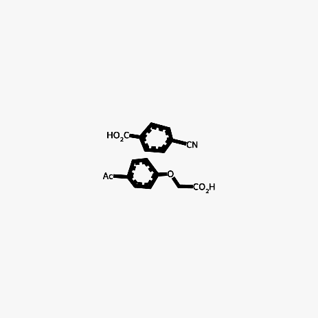 CC(=O)c1ccc(OCC(=O)O)cc1.N#Cc1ccc(C(=O)O)cc1